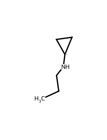 CCCN[C]1CC1